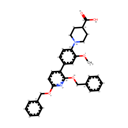 COc1cc(-c2ccc(OCc3ccccc3)nc2OCc2ccccc2)ccc1N1CCC(C(=O)O)CC1